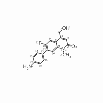 Cn1c(=O)cc(CO)c2cc(F)c(-c3ccc(N)cc3)cc21